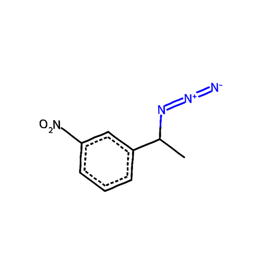 CC(N=[N+]=[N-])c1cccc([N+](=O)[O-])c1